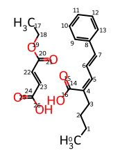 CCCCC(=CC=Cc1ccccc1)C(=O)O.CCOC(=O)C=CC(=O)O